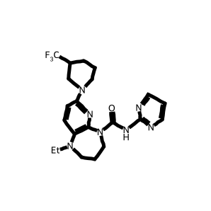 CCN1CCCN(C(=O)Nc2ncccn2)c2nc(N3CCCC(C(F)(F)F)C3)ccc21